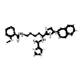 CSc1ccccc1C(=O)NCCCCC(NC(=O)c1cncs1)c1ncc(-c2ccc3ccccc3c2)[nH]1